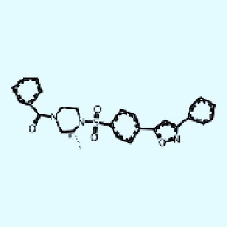 C[C@@H]1CN(C(=O)c2ccccc2)CCN1S(=O)(=O)c1ccc(-c2cc(-c3ccccc3)no2)cc1